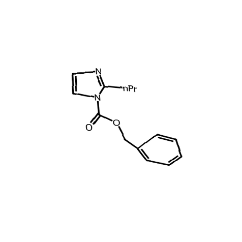 CCCc1nccn1C(=O)OCc1ccccc1